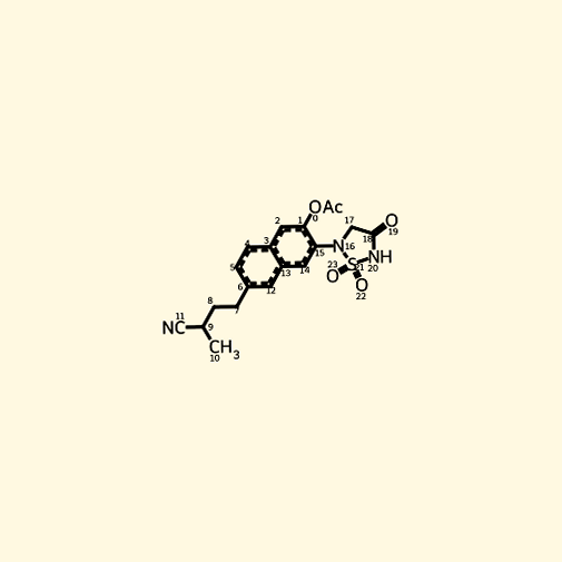 CC(=O)Oc1cc2ccc(CCC(C)C#N)cc2cc1N1CC(=O)NS1(=O)=O